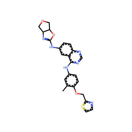 Cc1cc(Nc2ncnc3ccc(NC4=NC5COCC5O4)cc23)ccc1OCc1nccs1